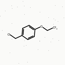 FC(F)(F)COc1ccc(CCl)cc1